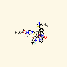 Cc1ncsc1-c1ccc(CNC(=O)C2CCCN2C(=O)C(NC(=O)C2(F)CC2)C(C)(C)SC(C)CN2CCN(C(=O)OC(C)(C)C)CC2)cc1